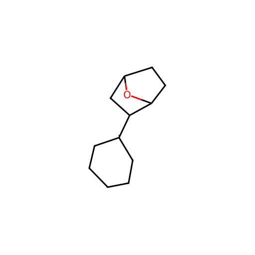 C1CC[C](C2CC3CCC2O3)CC1